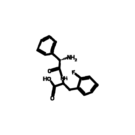 N[C@H](C(=O)NC(Cc1ccccc1F)C(=O)O)c1ccccc1